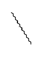 CCCCCC=CC[CH]C=CCCCCCCCC